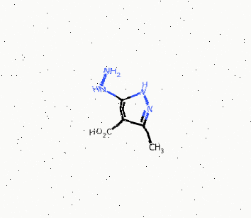 Cc1n[nH]c(NN)c1C(=O)O